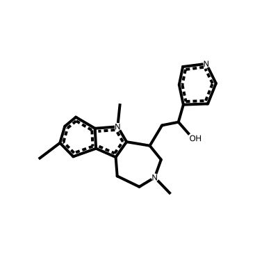 Cc1ccc2c(c1)c1c(n2C)C(CC(O)c2ccncc2)CN(C)CC1